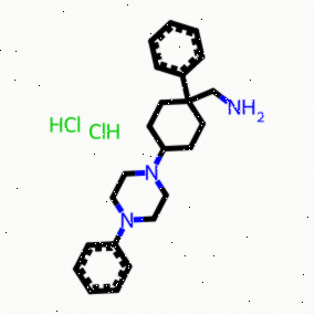 Cl.Cl.NCC1(c2ccccc2)CCC(N2CCN(c3ccccc3)CC2)CC1